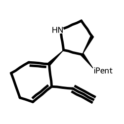 C#CC1=CCCC=C1[C@H]1NCC[C@H]1[C@H](C)CCC